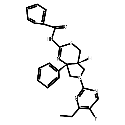 CCc1nc(N2C[C@H]3CSC(NC(=O)c4ccccc4)=N[C@@]3(c3ccccc3)C2)ncc1F